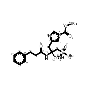 CC(C)(C)OC(=O)n1cnc(C[C@](CS(=O)(=O)C(C)(C)C)(NC(=O)CCc2ccccc2)C(=O)O)c1